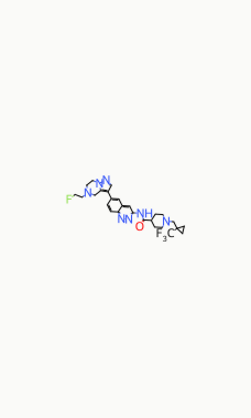 O=C(Nc1cc2cc(-c3cnn4c3CN(CCF)CC4)ccc2nn1)C1CCN(CC2(C(F)(F)F)CC2)CC1